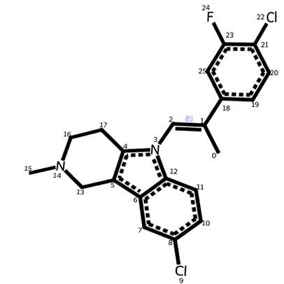 C/C(=C\n1c2c(c3cc(Cl)ccc31)CN(C)CC2)c1ccc(Cl)c(F)c1